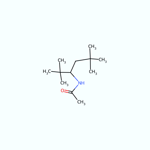 CC(=O)NC(CC(C)(C)C)C(C)(C)C